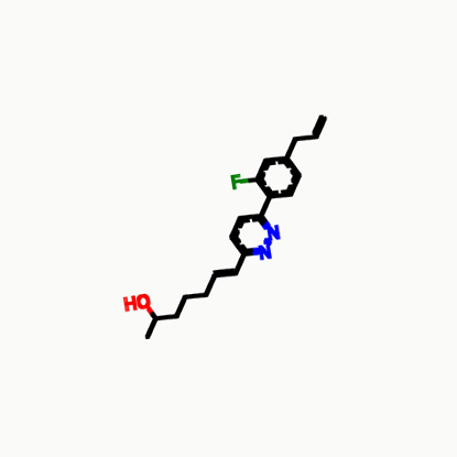 C=CCc1ccc(-c2ccc(C=CCCCC(C)O)nn2)c(F)c1